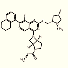 C=CC(=O)N1CC[C@@H]2[C@H]1CN2c1nc(OC[C@@H]2C[C@@H](F)CN2C)nc2c(F)c(-c3cccc4c3CCCC4)ncc12